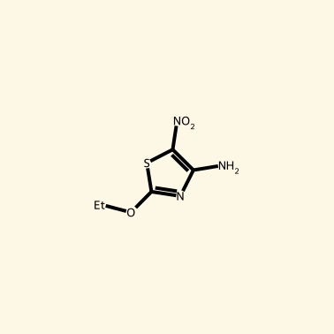 CCOc1nc(N)c([N+](=O)[O-])s1